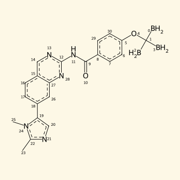 BC(B)(B)Oc1ccc(C(=O)Nc2ncc3ccc(-c4cnc(C)n4C)cc3n2)cc1